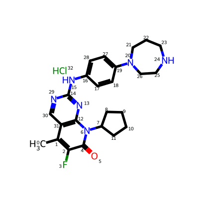 Cc1c(F)c(=O)n(C2CCCC2)c2nc(Nc3ccc(N4CCCNCC4)cc3)ncc12.Cl